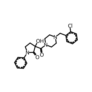 O=C(N1CCN(Cc2ccccc2Cl)CC1)C1(O)CCN(c2ccccc2)C1=O